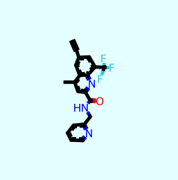 C#Cc1cc(C(F)(F)F)c2nc(C(=O)NCc3ccccn3)cc(C)c2c1